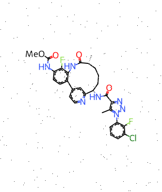 COC(=O)Nc1ccc2c(c1F)NC(=O)[C@H](C)CCC[C@H](NC(=O)c1nnn(-c3cccc(Cl)c3F)c1C)c1cc-2ccn1